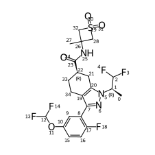 C[C@H](C(F)F)n1nc(-c2cc(OC(F)F)ccc2F)c2c1C[C@H](C(=O)NC1(C)CS(=O)(=O)C1)CC2